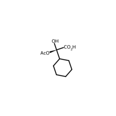 CC(=O)O[C@@](O)(C(=O)O)C1CCCCC1